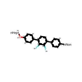 CCCCCCCCCc1ccc(-c2ccc(-c3ccc(OCCCCCCC)cc3)c(F)c2F)cc1